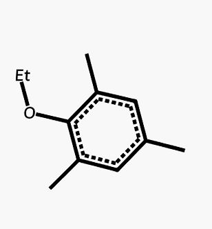 CCOc1c(C)cc(C)cc1C